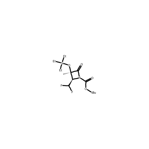 CC[Si](CC)(CC)O[C@@]1(C)C(=O)N(C(=O)OC(C)(C)C)[C@H]1C(F)F